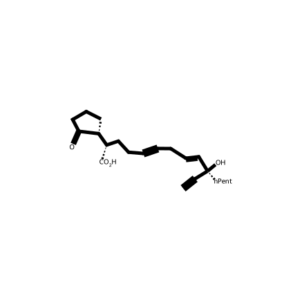 C#C[C@](O)(/C=C/CC#CCC[C@H](C(=O)O)[C@H]1CCCC1=O)CCCCC